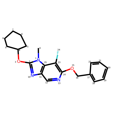 Cn1c(OC2CCCCC2)nc2cnc(OCc3ccccc3)c(F)c21